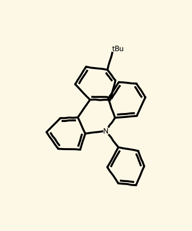 CC(C)(C)c1ccc(-c2ccccc2N(c2ccccc2)c2ccccc2)cc1